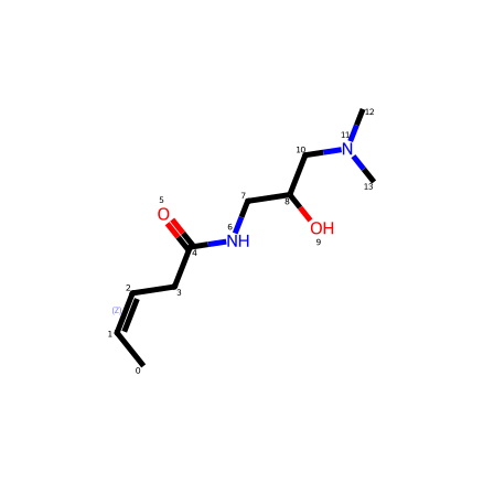 C/C=C\CC(=O)NCC(O)CN(C)C